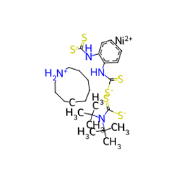 C1CCCC[NH2+]CCCC1.CC(C)(C)N(C(=S)[S-])C(C)(C)C.S=C([S-])Nc1ccccc1NC(=S)[S-].[Ni+2]